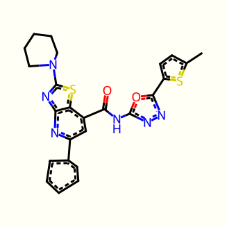 Cc1ccc(-c2nnc(NC(=O)c3cc(-c4ccccc4)nc4nc(N5CCCCC5)sc34)o2)s1